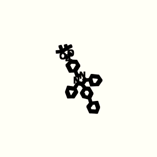 CC1(C)OB(c2ccc(-c3nc(-c4ccccc4)c(-c4ccc(-c5ccccc5)cc4)c(-c4ccccc4)n3)cc2)OC1(C)C